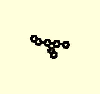 c1ccc(-c2ccc3c4ccc(-c5ccc6ccccc6c5)cc4c4nc5ccccc5n4c3c2)cc1